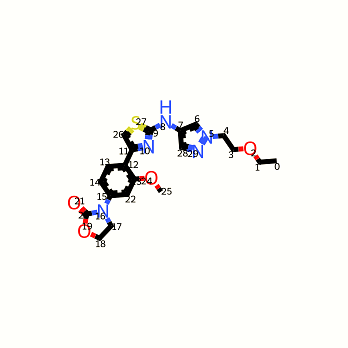 CCOCCn1cc(Nc2nc(-c3ccc(N4CCOC4=O)cc3OC)cs2)cn1